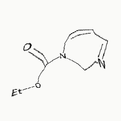 CCOC(=O)N1C=CC=NC1